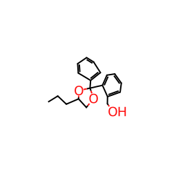 CCCC1COC(c2ccccc2)(c2ccccc2CO)O1